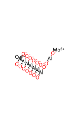 [Cu+2].[Mo+6].[O]=[Al][O-].[O]=[Al][O-].[O]=[Al][O-].[O]=[Al][O-].[O]=[Al][O-].[O]=[Al][O-].[O]=[Al][O-].[O]=[Al][O-]